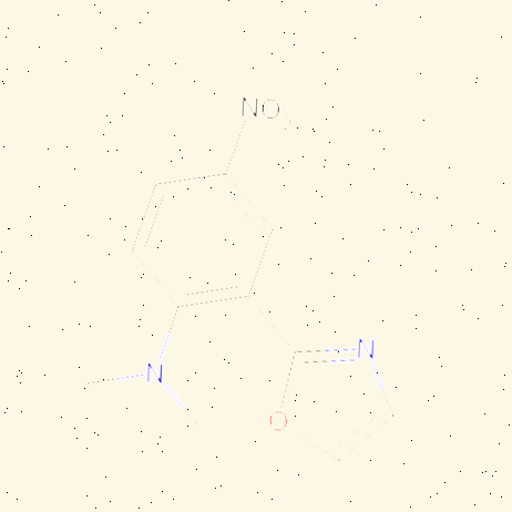 CN(C)c1ccc([N+](=O)[O-])cc1-c1ncco1